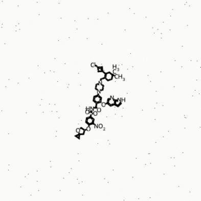 CC1(C)CCC(CN2CCN(c3ccc(C(=O)NS(=O)(=O)c4ccc(OC5COC6(CC6)C5)c([N+](=O)[O-])c4)c(Oc4cnc5[nH]ccc5c4)c3)CC2)=C(C23CC(Cl)(C2)C3)C1